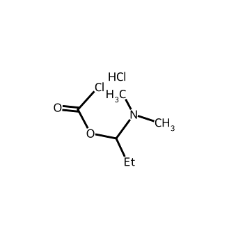 CCC(OC(=O)Cl)N(C)C.Cl